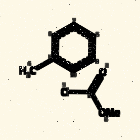 COC(=O)Cl.Cc1ccccc1